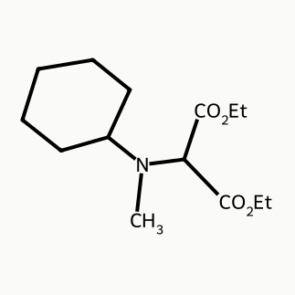 CCOC(=O)C(C(=O)OCC)N(C)C1CCCCC1